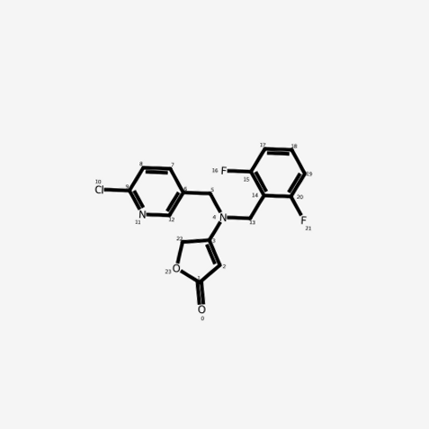 O=C1C=C(N(Cc2ccc(Cl)nc2)Cc2c(F)cccc2F)CO1